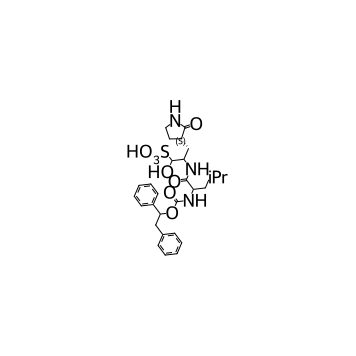 CC(C)CC(NC(=O)OC(Cc1ccccc1)c1ccccc1)C(=O)NC(C[C@@H]1CCNC1=O)C(O)S(=O)(=O)O